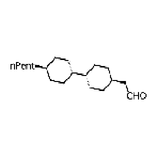 CCCCC[C@H]1CC[C@H]([C@H]2CC[C@H](CC=O)CC2)CC1